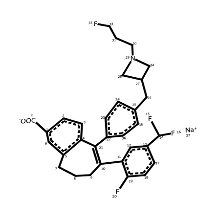 O=C([O-])c1ccc2c(c1)CCCC(c1cc(C(F)F)ccc1F)=C2c1ccc(CC2CN(CCCF)C2)cc1.[Na+]